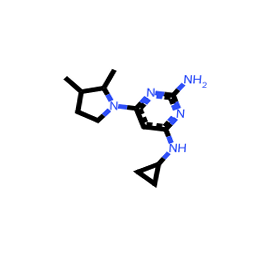 CC1CCN(c2cc(NC3CC3)nc(N)n2)C1C